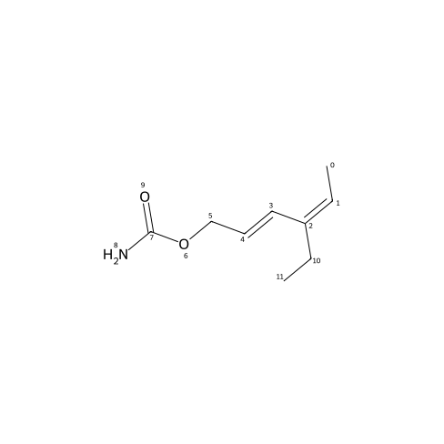 CC=C(C=CCOC(N)=O)CC